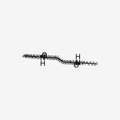 CCCCCCCCCCCCNC(=O)CCCCCCCCC#CC#CCCCCCCCCC(=O)NCCCCCCCCCCCC